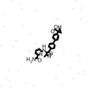 Cc1noc(-c2ccc(-c3ccc(C4(C(=O)O)CC4)cc3)cc2)c1Nc1cccc(C(N)=O)n1